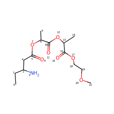 CCC(N)CC(=O)OC(C)C(=O)OC(C)C(=O)OCCOC